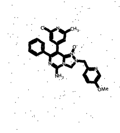 COc1ccc(CN2CN3C(N)=NC(c4ccccc4)=C(c4cc(C)nc(Cl)c4)C3=[N+]2[O-])nc1